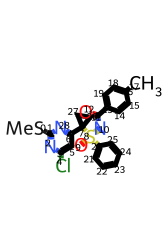 CSc1nc(Cl)cc(C2(S(=O)(=NC(=O)c3ccc(C)cc3)c3ccccc3)CC2)n1